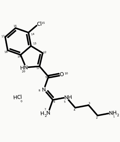 Cl.NCCCNC(N)=NC(=O)c1cc2c(Cl)cccc2[nH]1